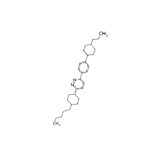 CCCCCC1CCC(c2ccc(-c3ccc(C4CCC(CCC)CC4)cc3)nn2)CC1